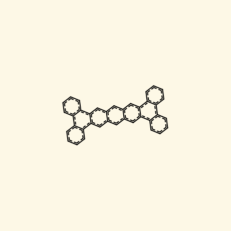 c1ccc2c(c1)c1ccccc1c1cc3cc4cc5c6ccccc6c6ccccc6c5cc4cc3cc21